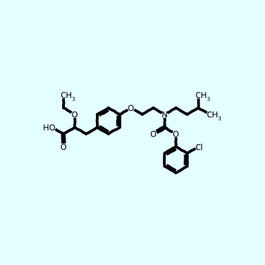 CCOC(Cc1ccc(OCCN(CCC(C)C)C(=O)Oc2ccccc2Cl)cc1)C(=O)O